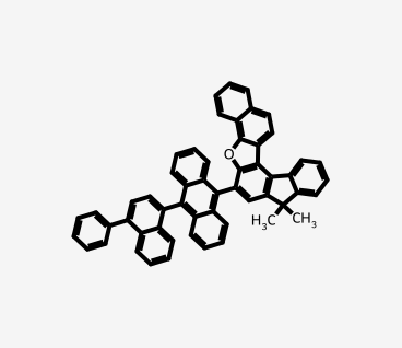 CC1(C)c2ccccc2-c2c1cc(-c1c3ccccc3c(-c3ccc(-c4ccccc4)c4ccccc34)c3ccccc13)c1oc3c4ccccc4ccc3c21